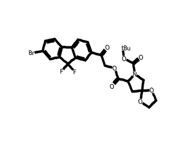 CC(C)(C)OC(=O)N1CC2(CC1C(=O)OCC(=O)c1ccc3c(c1)C(F)(F)c1cc(Br)ccc1-3)OCCO2